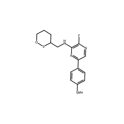 CSc1ccc(-c2cnc(F)c(NCC3CCCOS3)n2)cc1